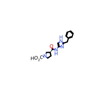 O=C(Nc1c[nH]c(Cc2ccccc2)n1)[C@H]1CCN(C(=O)O)C1